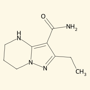 CCc1nn2c(c1C(N)=O)NCCC2